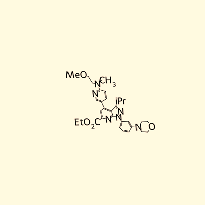 CCOC(=O)c1cc(-c2ccc(N(C)CCOC)nc2)c2c(C(C)C)nn(-c3cccc(N4CCOCC4)c3)c2n1